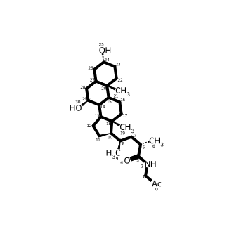 CC(=O)CNC(=O)[C@@H](C)C[C@@H](C)[C@H]1CCC2C3C(CC[C@@]21C)[C@@]1(C)CC[C@@H](O)CC1C[C@@H]3O